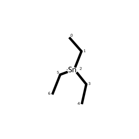 C[CH2][Sn]([CH2]C)[CH2]C